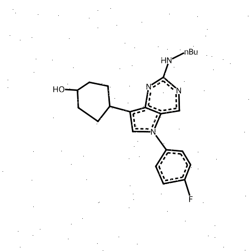 CCCCNc1ncc2c(n1)c(C1CCC(O)CC1)cn2-c1ccc(F)cc1